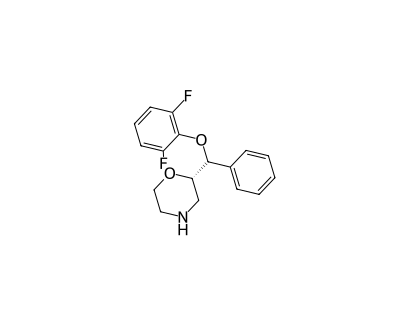 Fc1cccc(F)c1OC(c1ccccc1)[C@@H]1CNCCO1